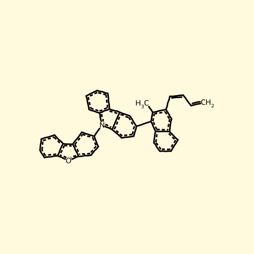 C=C/C=C\c1cc2ccccc2c(-c2ccc3c(c2)c2ccccc2n3-c2ccc3oc4ccccc4c3c2)c1C